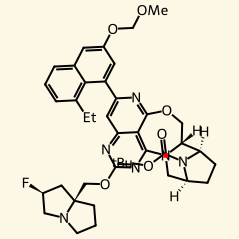 CCc1cccc2cc(OCOC)cc(-c3cc4nc(OC[C@@]56CCCN5C[C@@H](F)C6)nc5c4c(n3)OC[C@@H]3[C@H]4CC[C@@H](CN53)N4C(=O)OC(C)(C)C)c12